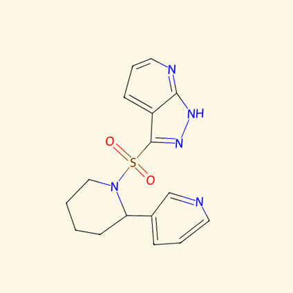 O=S(=O)(c1n[nH]c2ncccc12)N1CCCCC1c1cccnc1